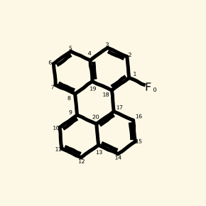 Fc1ccc2cccc3c4cccc5cccc(c1c23)c54